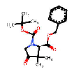 CC(C)(C)OC(=O)N1CC(=O)C(C)(C)[C@@H]1C(=O)OCc1ccccc1